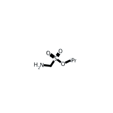 CC(C)OS(=O)(=O)CN